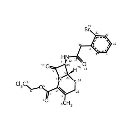 CC1=C(C(=O)OCC(Cl)(Cl)Cl)N2C(=O)[C@@H](NC(=O)Cc3ccccc3Br)[C@@H]2SC1